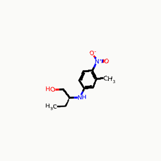 CC[C@@H](CO)Nc1ccc([N+](=O)[O-])c(C)c1